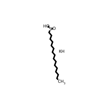 CCCCCCCCCCCCCCCCS(=O)O.[KH]